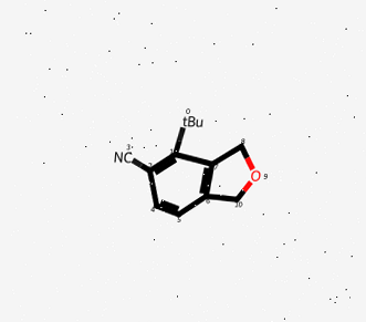 CC(C)(C)c1c(C#N)ccc2c1COC2